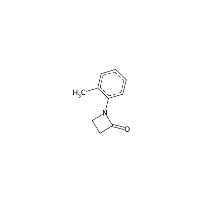 Cc1ccccc1N1CCC1=O